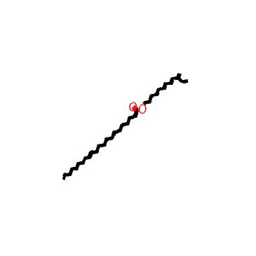 CCCCCCCCC=CCCCCCCCCCCCC(=O)OCCCCCCCCCC(C)CC